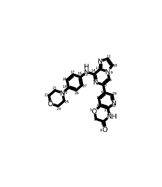 O=C1COc2cc(-c3cn4ccnc4c(Nc4ccc(N5CCOCC5)cc4)n3)cnc2N1